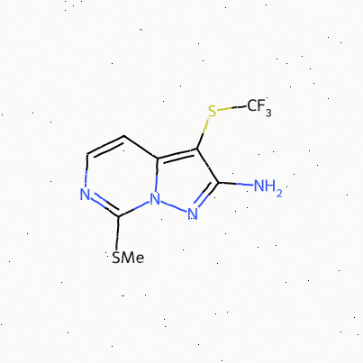 CSc1nccc2c(SC(F)(F)F)c(N)nn12